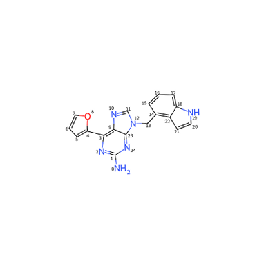 Nc1nc(-c2ccco2)c2ncn(Cc3cccc4[nH]ccc34)c2n1